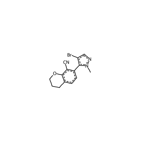 Cn1ncc(Br)c1-c1ccc2c(c1C#N)OCCC2